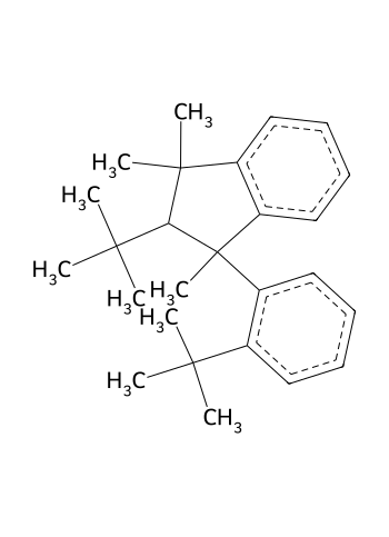 CC(C)(C)c1ccccc1C1(C)c2ccccc2C(C)(C)C1C(C)(C)C